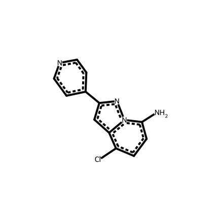 Nc1ccc(Cl)c2cc(-c3ccncc3)nn12